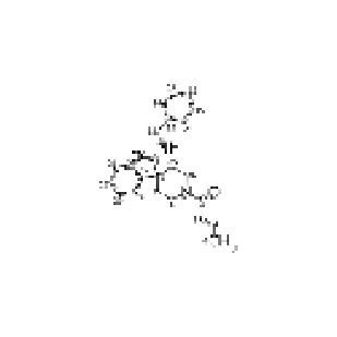 CC=CC(=O)N1CCC(C(=O)NCc2ccccc2)(c2ccccc2)CC1